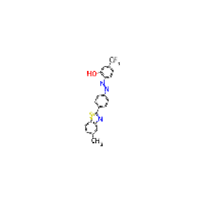 Cc1ccc2sc(-c3ccc(/N=N/c4ccc(C(F)(F)F)cc4O)cc3)nc2c1